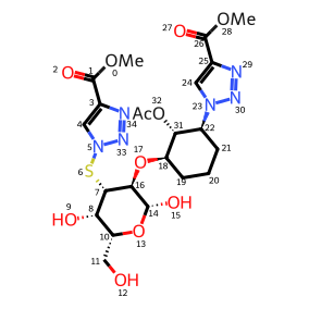 COC(=O)c1cn(S[C@H]2[C@@H](O)[C@@H](CO)O[C@@H](O)[C@@H]2O[C@@H]2CCC[C@H](n3cc(C(=O)OC)nn3)[C@H]2OC(C)=O)nn1